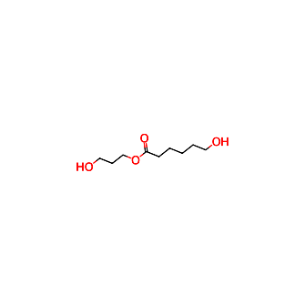 O=C(CCCCCO)OCCCO